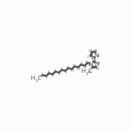 CCCCCCCCCCCCCCCCn1c(C)cnc1-n1cccn1